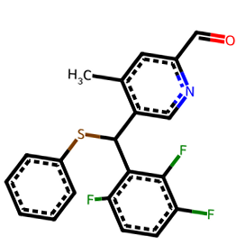 Cc1cc(C=O)ncc1C(Sc1ccccc1)c1c(F)ccc(F)c1F